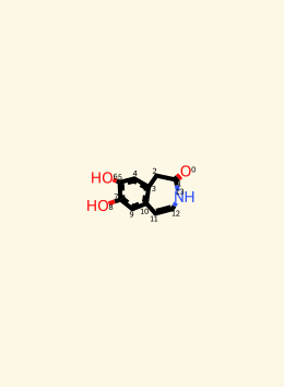 O=C1Cc2cc(O)c(O)cc2C=CN1